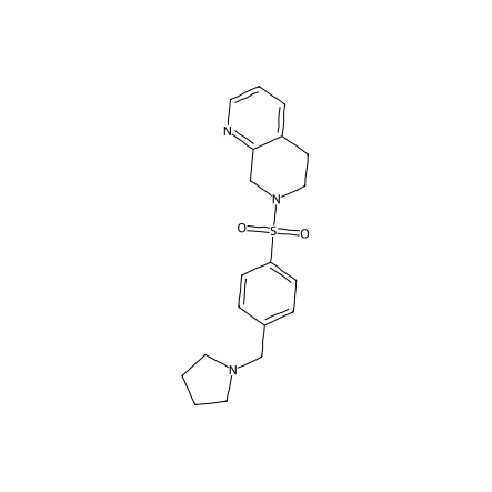 O=S(=O)(c1ccc(CN2CCCC2)cc1)N1CCc2cccnc2C1